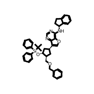 CC(C)(C)[Si](O[C@@H]1C[C@@H](c2coc3c(N[C@H]4CCc5ccccc54)ncnc23)C[C@H]1COCc1ccccc1)(c1ccccc1)c1ccccc1